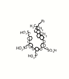 CC(C)CCC[C@@H](C)[C@H]1CCC2C3CCC4C[C@@H](O[C@H]5CC[C@H](O[C@@H]6CC[C@H](O[C@@H]7CC[C@H](O[C@@H]8CCCC(COS(=O)(=O)O)O8)C(COS(=O)(=O)O)O7)C(COS(=O)(=O)O)C6)C(COS(=O)(=O)O)O5)CC[C@]4(C)C3CC[C@@]21C